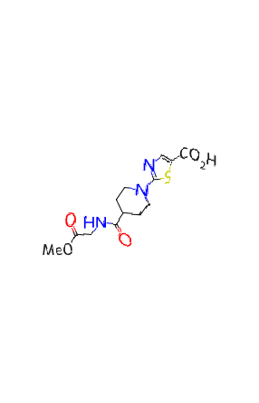 COC(=O)CNC(=O)C1CCN(c2ncc(C(=O)O)s2)CC1